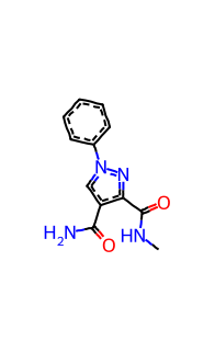 CNC(=O)c1nn(-c2ccccc2)cc1C(N)=O